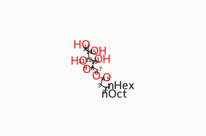 CCCCCCCCC(CCCCCC)CC(=O)OCC(=O)[C@H](O)[C@@H](O)[C@H](O)CO